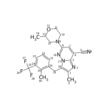 Cc1nc2c(C#N)cc(N3CCOC(C)C3)nn2c1Cc1cccc(C(F)(F)F)c1C